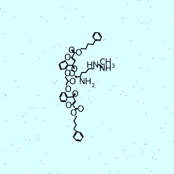 CC(=N)NCCCC[C@H](N)C(=O)OC(COc1cccc2oc(C(=O)OCCCCc3ccccc3)cc(=O)c12)COc1cccc2oc(C(=O)OCCCCc3ccccc3)cc(=O)c12